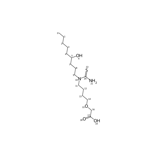 CCCCCC(O)CCCN(CCCCOCC(=O)O)C(N)=S